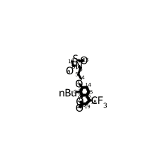 CCCCc1c(OCCCN2C(=O)CSC2=O)ccc2c(C(F)(F)F)cc(=O)oc12